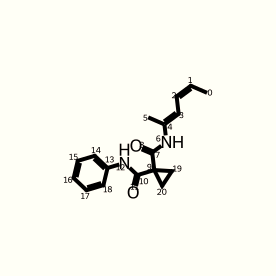 C/C=C\C=C(/C)NC(=O)C1(C(=O)Nc2ccccc2)CC1